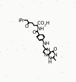 Cc1nc(=O)c2nc(CNc3ccc(C(=O)NC(CCC(=O)CC(C)C)C(=O)O)cc3)cnc2[nH]1